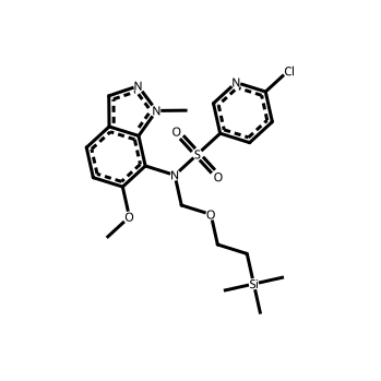 COc1ccc2cnn(C)c2c1N(COCC[Si](C)(C)C)S(=O)(=O)c1ccc(Cl)nc1